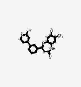 CC(C)c1cc(-c2cccc(C3=Nc4cc(Cl)c(C(F)(F)F)cc4NC(=O)C3)c2)ccn1